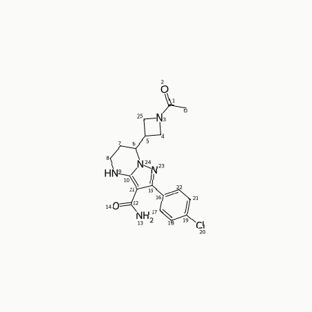 CC(=O)N1CC(C2CCNc3c(C(N)=O)c(-c4ccc(Cl)cc4)nn32)C1